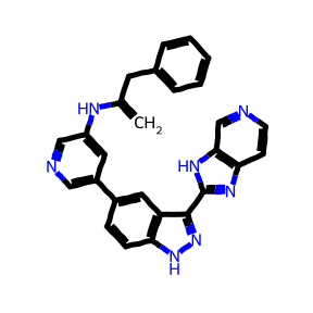 C=C(Cc1ccccc1)Nc1cncc(-c2ccc3[nH]nc(-c4nc5ccncc5[nH]4)c3c2)c1